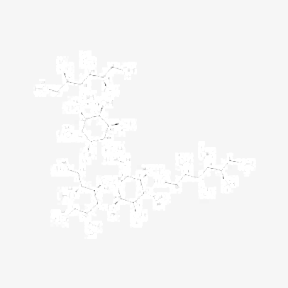 OC[C@@H](O)[C@@H](O)[C@H](O)[C@@H](O)CO.OC[C@@H](O)[C@@H](O)[C@H](O)[C@H](O)CO.OC[C@@H](O)[C@@H](O[C@H]1O[C@H](CO)[C@@H](O)[C@H](O)[C@H]1O)[C@H](O)[C@@H](O)CO.O[C@H]1[C@H](O)[C@@H](O)[C@H](O)[C@@H](O)[C@H]1O